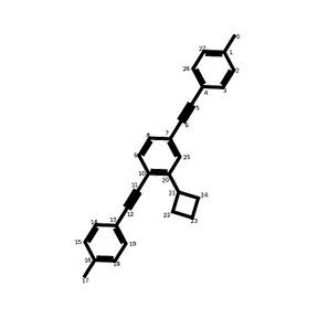 Cc1ccc(C#Cc2ccc(C#Cc3ccc(C)cc3)c(C3CCC3)c2)cc1